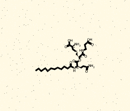 CCCCCCCCCCCC(=O)N[C@H](CCC(N)=O)C(=O)O[C@H](CSC[C@H](N)C(=O)O)C(=O)NCCC(=O)O